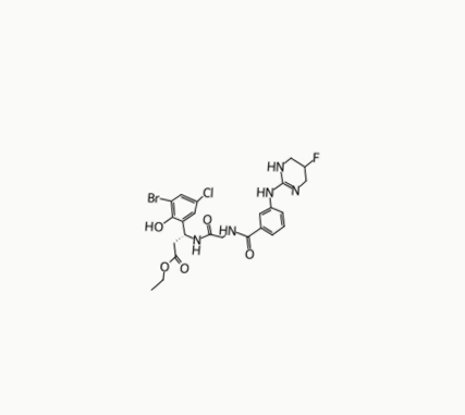 CCOC(=O)C[C@@H](NC(=O)CNC(=O)c1cccc(NC2=NCC(F)CN2)c1)c1cc(Cl)cc(Br)c1O